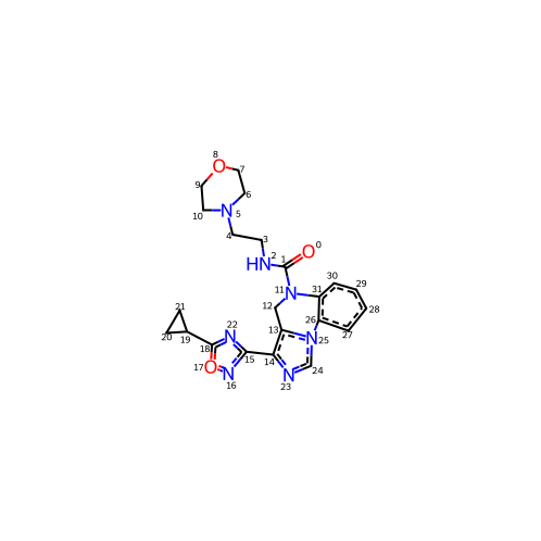 O=C(NCCN1CCOCC1)N1Cc2c(-c3noc(C4CC4)n3)ncn2-c2ccccc21